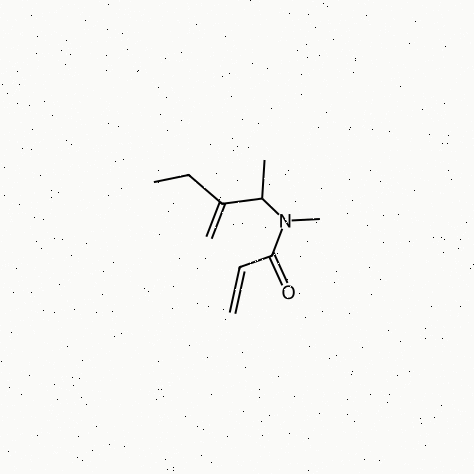 C=CC(=O)N(C)C(C)C(=C)CC